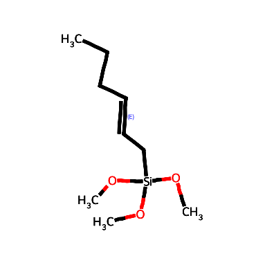 CCC/C=C/C[Si](OC)(OC)OC